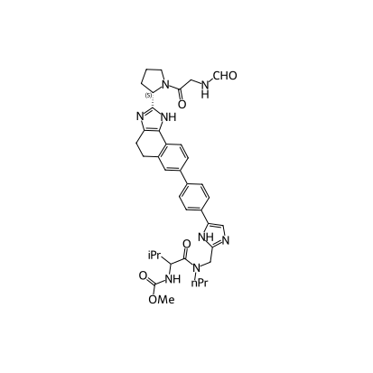 CCCN(Cc1ncc(-c2ccc(-c3ccc4c(c3)CCc3nc([C@@H]5CCCN5C(=O)CNC=O)[nH]c3-4)cc2)[nH]1)C(=O)C(NC(=O)OC)C(C)C